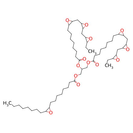 CCCCCCCCC1OC1CCCCCCCC(=O)OCC(COC(=O)CCCCCCCC1OC1CC1OC1CC1OC1CC)OC(=O)CCCCCCCC1OC1CC1OC1CC1OC1CC